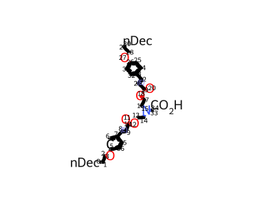 CCCCCCCCCCCCOc1ccc(/C=C/C(=O)OCCN(CCOC(=O)/C=C/c2ccc(OCCCCCCCCCCCC)cc2)CC(=O)O)cc1